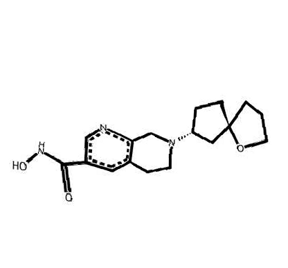 O=C(NO)c1cnc2c(c1)CCN([C@@H]1CC[C@]3(CCCO3)C1)C2